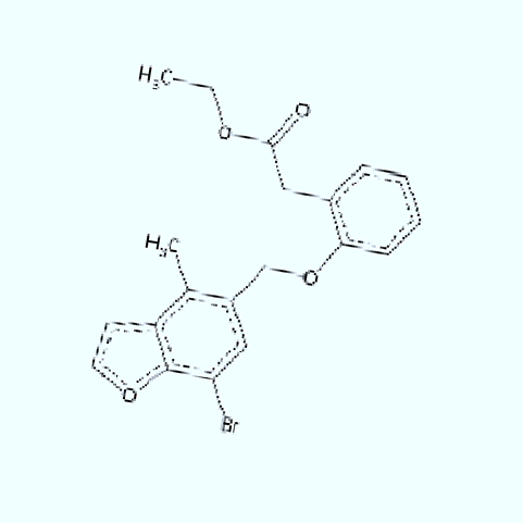 CCOC(=O)Cc1ccccc1OCc1cc(Br)c2occc2c1C